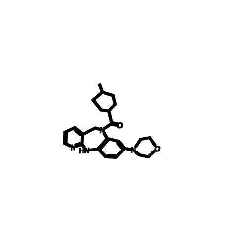 CC1CCC(C(=O)N2Cc3cccnc3Nc3ccc(N4CCOCC4)cc32)CC1